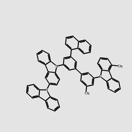 N#Cc1cc(-c2cc(-c3cccc4ccccc34)cc(-n3c4ccccc4c4cc(-n5c6ccccc6c6ccccc65)ccc43)c2)cc(-n2c3ccccc3c3c(C#N)cccc32)c1